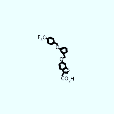 O=C(O)Cc1csc2cc(OCc3cccc(OCc4ccc(C(F)(F)F)cc4)c3)ccc12